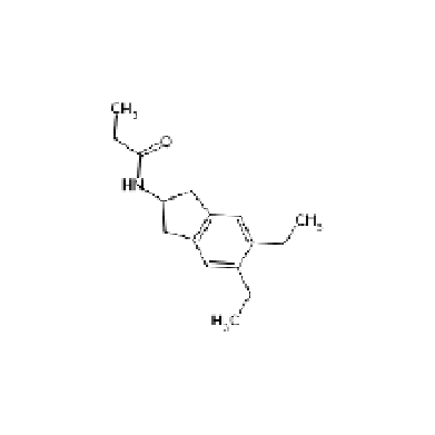 CCC(=O)NC1Cc2cc(CC)c(CC)cc2C1